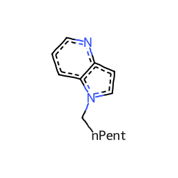 CCCCCCn1ccc2ncccc21